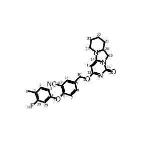 Cc1ccc(Oc2ccc(COc3cc4n(c(=O)n3)CC3CCCCN43)cc2C#N)cc1F